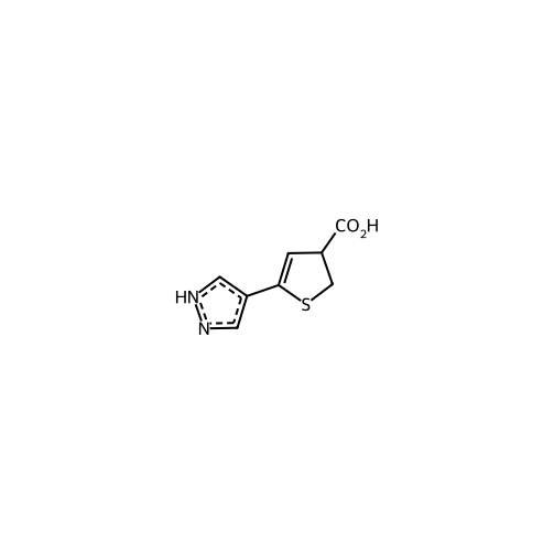 O=C(O)C1C=C(c2cn[nH]c2)SC1